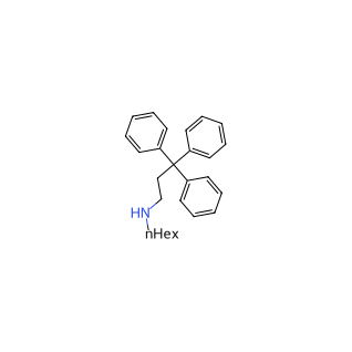 CCCCCCNCCC(c1ccccc1)(c1ccccc1)c1ccccc1